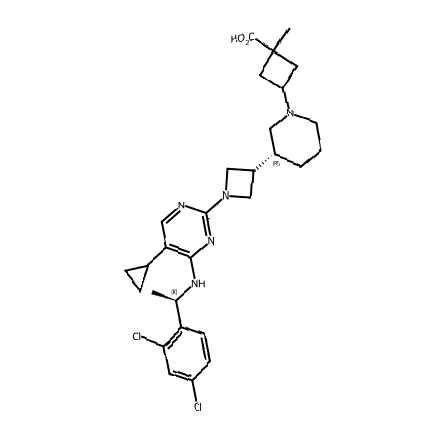 C[C@@H](Nc1nc(N2CC([C@H]3CCCN(C4CC(C)(C(=O)O)C4)C3)C2)ncc1C1CC1)c1ccc(Cl)cc1Cl